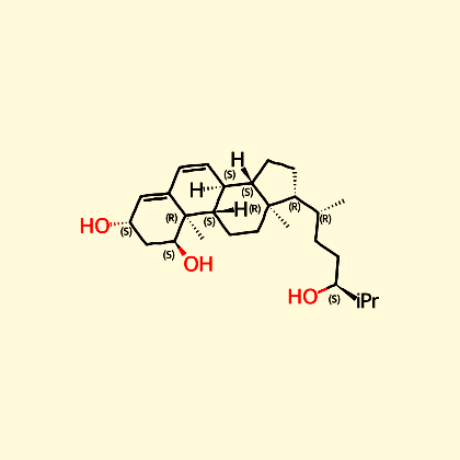 CC(C)[C@@H](O)CC[C@@H](C)[C@H]1CC[C@H]2[C@@H]3C=CC4=C[C@@H](O)C[C@H](O)[C@]4(C)[C@H]3CC[C@]12C